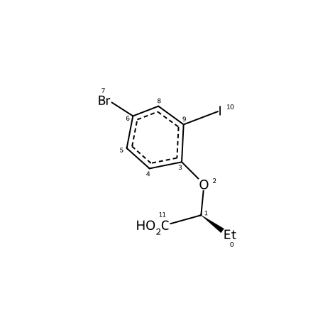 CC[C@H](Oc1ccc(Br)cc1I)C(=O)O